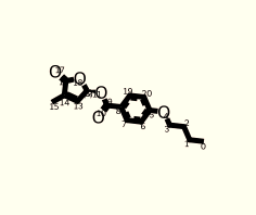 CCCCOc1ccc(C(=O)O[C@H]2C=C(C)C(=O)O2)cc1